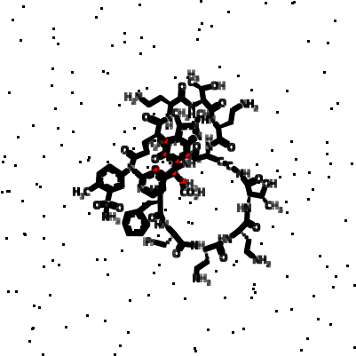 Cc1ccc(N(C(=O)CC[C@H](NC(=O)[C@@H](N)CCC(=O)O)C(=O)N[C@@H](CCN)C(=O)N[C@H](C(=O)N[C@@H](CCN)C(=O)N[C@H]2CCNC(=O)[C@H]([C@@H](C)O)NC(=O)[C@H](CCN)NC(=O)[C@H](CCN)NC(=O)[C@H](CC(C)C)NC(=O)[C@@H](Cc3ccccc3)NC(=O)[C@H](CCN)NC2=O)[C@@H](C)O)c2nccc(N(C)c3ccc4c(C)n(C)nc4c3)n2)cc1S(N)(=O)=O